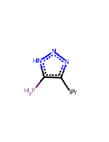 CC(C)c1nn[nH]c1P